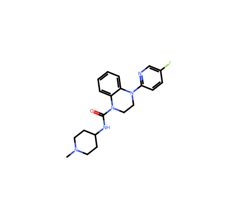 CN1CCC(NC(=O)N2CCN(c3ccc(F)cn3)c3ccccc32)CC1